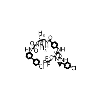 CC(C)(CNC(=O)C(=O)Nc1cccc(-c2ccc(Cl)cc2)c1)CNC(=O)c1ccc(Nc2nc(NC3(c4ccc(Cl)cc4)CC3)nc(OCC(F)(F)F)n2)cc1